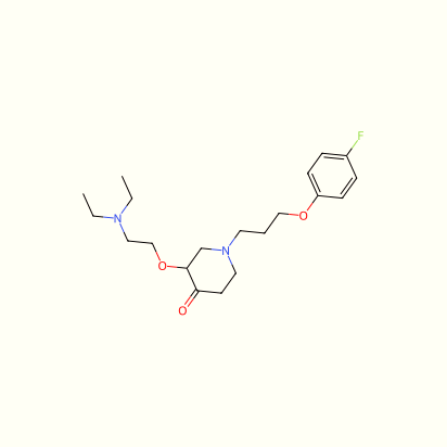 CCN(CC)CCOC1CN(CCCOc2ccc(F)cc2)CCC1=O